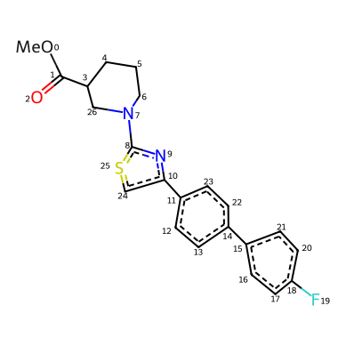 COC(=O)C1CCCN(c2nc(-c3ccc(-c4ccc(F)cc4)cc3)cs2)C1